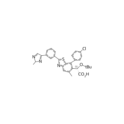 Cc1cc2nc(-c3cccc(C4=NC(C)N=C4)c3)sc2c(-c2ccc(Cl)cc2)c1[C@H](OC(C)(C)C)C(=O)O